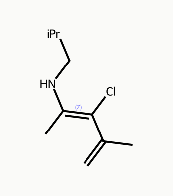 C=C(C)/C(Cl)=C(\C)NCC(C)C